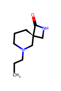 CCCN1CCC[C@@]2(CNC2=O)C1